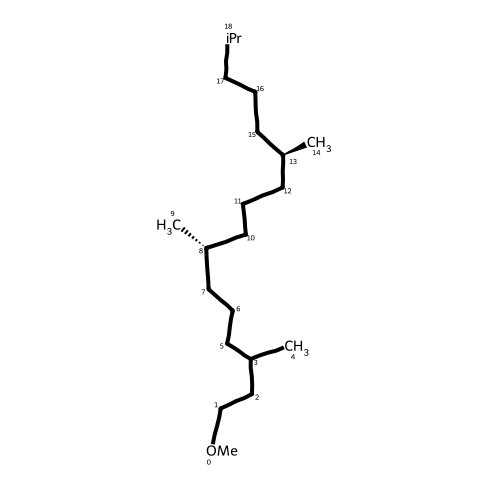 COCCC(C)CCC[C@H](C)CCC[C@H](C)CCCC(C)C